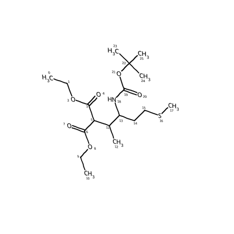 CCOC(=O)C(C(=O)OCC)C(C)C(CCSC)NC(=O)OC(C)(C)C